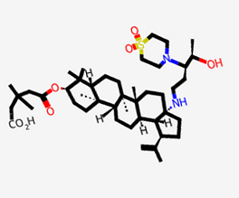 C=C(C)[C@@H]1CC[C@]2(NCC[C@H]([C@@H](C)O)N3CCS(=O)(=O)CC3)CC[C@]3(C)[C@H](CC[C@@H]4[C@@]5(C)CC[C@H](OC(=O)CC(C)(C)CC(=O)O)C(C)(C)[C@@H]5CC[C@]43C)[C@@H]12